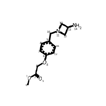 COC(=O)COc1ccc(CN2CC(N)C2)cc1